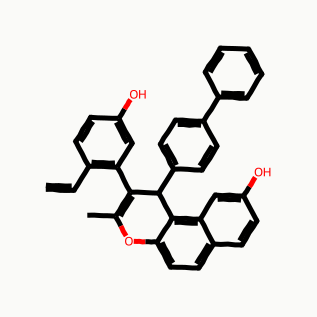 C=Cc1ccc(O)cc1C1=C(C)Oc2ccc3ccc(O)cc3c2C1c1ccc(-c2ccccc2)cc1